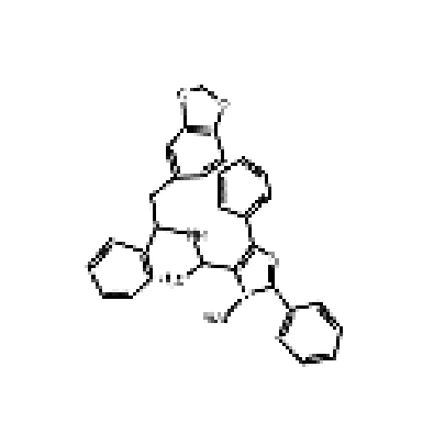 CCCCn1c(-c2ccccc2)nc(-c2ccccc2)c1C(C)NC(Cc1ccc2c(c1)OCO2)c1ccccc1